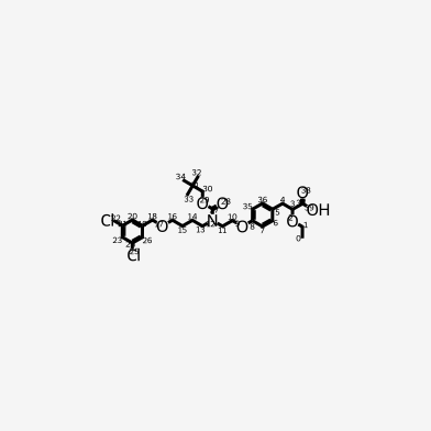 CCOC(Cc1ccc(OCCN(CCCCOCc2cc(Cl)cc(Cl)c2)C(=O)OCC(C)(C)C)cc1)C(=O)O